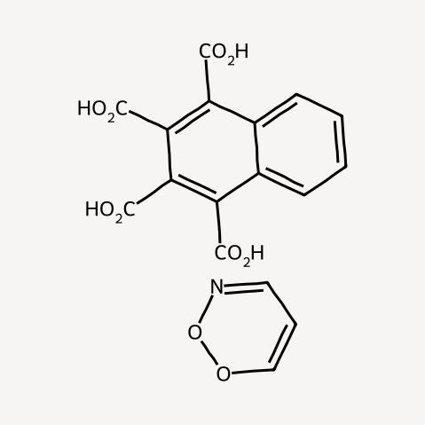 C1=COON=C1.O=C(O)c1c(C(=O)O)c(C(=O)O)c2ccccc2c1C(=O)O